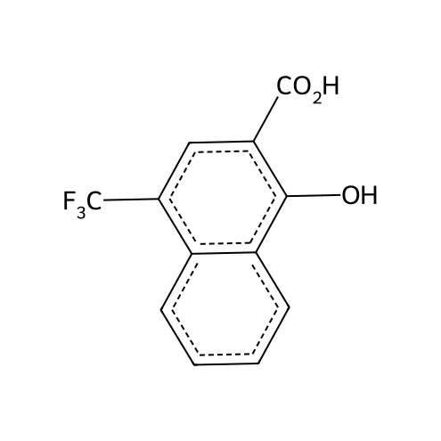 O=C(O)c1cc(C(F)(F)F)c2ccccc2c1O